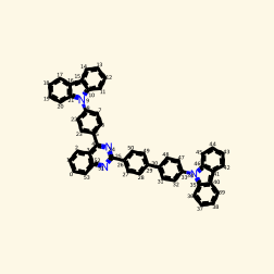 c1ccc2c(-c3ccc(-n4c5ccccc5c5ccccc54)cc3)nc(-c3ccc(-c4ccc(-n5c6ccccc6c6ccccc65)cc4)cc3)nc2c1